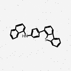 c1ccc2c(Nc3ccc(-c4cccc5c4sc4ccccc45)cc3)cccc2c1